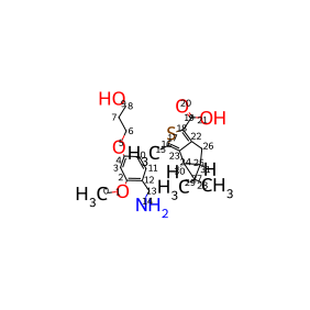 COc1cc(OCCCO)ccc1CN.Cc1sc(C(=O)O)c2c1[C@H]1[C@@H](C2)C1(C)C